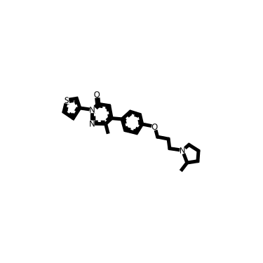 Cc1nn(-c2ccsc2)c(=O)cc1-c1ccc(OCCCN2CCCC2C)cc1